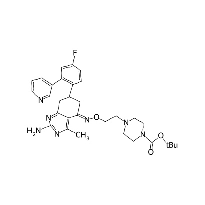 Cc1nc(N)nc2c1C(=NOCCN1CCN(C(=O)OC(C)(C)C)CC1)CC(c1ccc(F)cc1-c1cccnc1)C2